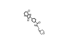 O=C(NCCN1CCOCC1)c1ccc(-c2nc3c(Cl)ccnc3[nH]2)cc1